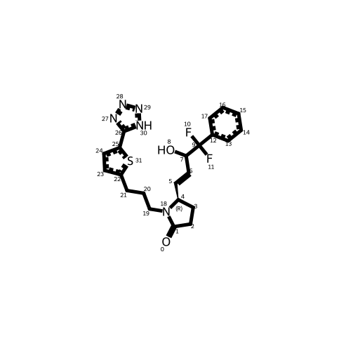 O=C1CC[C@H](C=CC(O)C(F)(F)c2ccccc2)N1CCCc1ccc(-c2nnn[nH]2)s1